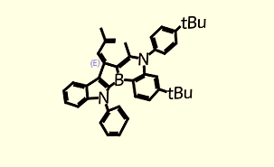 C=C(C)/C=C1\C2=C(C)N(c3ccc(C(C)(C)C)cc3)c3cc(C(C)(C)C)ccc3B2c2c1c1ccccc1n2-c1ccccc1